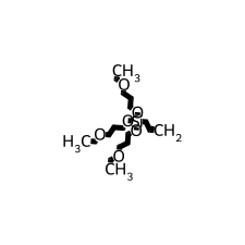 C=CC[Si](OCCCOCC)(OCCCOCC)OCCCOCC